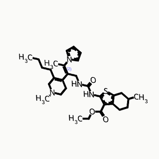 CCCCC1=C(/C(CNC(=O)Nc2sc3c(c2C(=O)OCC)CCC(C)C3)=C(\C)n2cccc2)CCN(C)C1